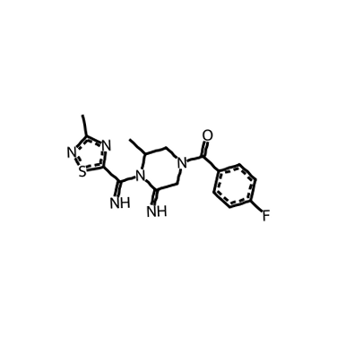 Cc1nsc(C(=N)N2C(=N)CN(C(=O)c3ccc(F)cc3)CC2C)n1